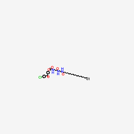 CCC=CCC=CCC=CCC=CCC=CCCCC(=O)NCCNC(=O)CCNC(=O)C(C)(C)Oc1ccc(C(=O)c2ccc(Cl)cc2)cc1